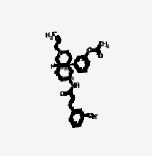 C=CCN1CC[C@@]2(c3cccc(OC(C)=O)c3)C[C@@H](NC(=O)C=Cc3cccc(O)c3)CC[C@@H]2C1